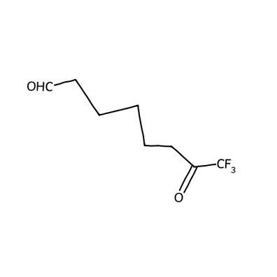 O=CCCCCCC(=O)C(F)(F)F